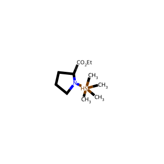 CCOC(=O)C1CCCN1[SH](C)(C)(C)C